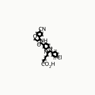 N#Cc1ccc2c(c1)OCCC2NC(=O)c1ccc2nc(-c3ccc(Cl)cc3)c(CCCCC(=O)O)nc2c1